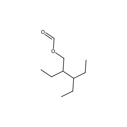 CCC(CC)C(CC)COC=O